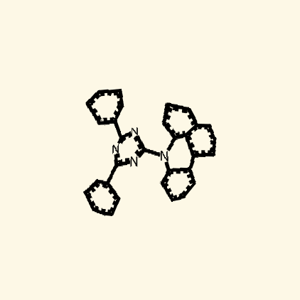 c1ccc(-c2nc(-c3ccccc3)nc(N3c4ccccc4-c4cccc5cccc3c45)n2)cc1